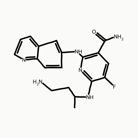 CC(CCN)Nc1nc(Nc2ccc3ncccc3c2)c(C(N)=O)cc1F